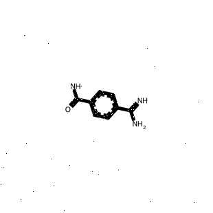 [NH]C(=O)c1ccc(C(=N)N)cc1